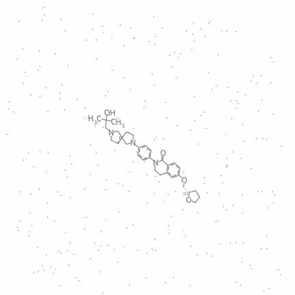 CC(C)(O)CN1CC[C@]2(CCN(c3ccc(N4CCc5cc(OC[C@@H]6CCCO6)ccc5C4=O)cc3)C2)C1